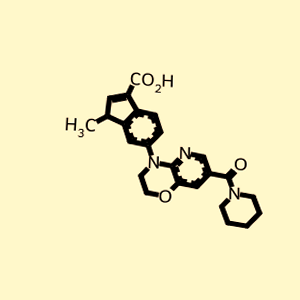 CC1C=C(C(=O)O)c2ccc(N3CCOc4cc(C(=O)N5CCCCC5)cnc43)cc21